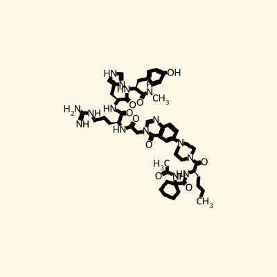 CCCC[C@H](NC(=O)C1(NC(C)=O)CCCCC1)C(=O)N1CCN(c2ccc3ncn(CC(=O)N[C@@H](CCCNC(=N)N)C(=O)N[C@@H](Cc4c[nH]cn4)C(=O)N[C@@H](Cc4ccc(O)cc4)C(=O)NC)c(=O)c3c2)CC1